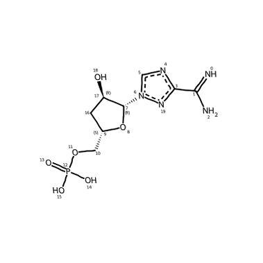 N=C(N)c1ncn([C@@H]2O[C@H](COP(=O)(O)O)C[C@H]2O)n1